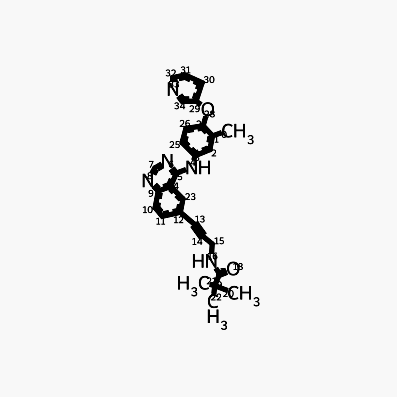 Cc1cc(Nc2ncnc3ccc(C#CCNC(=O)C(C)(C)C)cc23)ccc1Oc1cccnc1